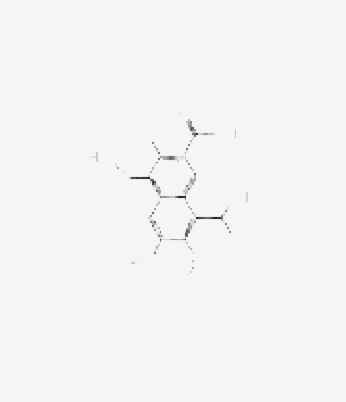 COc1cc2c(OC)c(O)c(C(=O)O)cc2c(C(C)C)c1OC